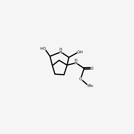 CC(C)(C)OC(=O)NC12CCC(C1)C(O)NC2O